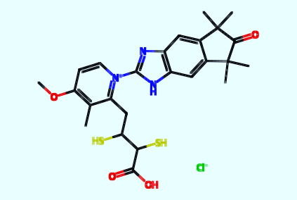 COc1cc[n+](-c2nc3cc4c(cc3[nH]2)C(C)(C)C(=O)C4(C)C)c(CC(S)C(S)C(=O)O)c1C.[Cl-]